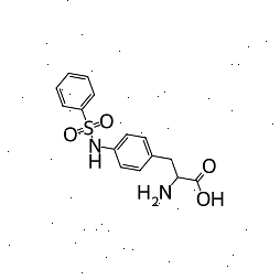 NC(Cc1ccc(NS(=O)(=O)c2ccccc2)cc1)C(=O)O